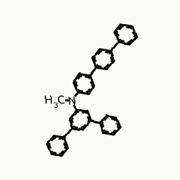 CN(c1ccc(-c2ccc(-c3ccccc3)cc2)cc1)c1cc(-c2ccccc2)cc(-c2ccccc2)c1